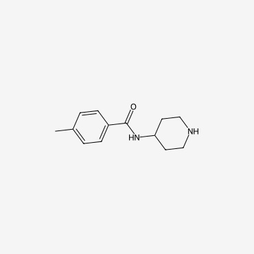 Cc1ccc(C(=O)NC2CCNCC2)cc1